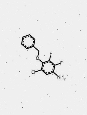 Nc1cc(Cl)c(OCc2ccccc2)c(F)c1F